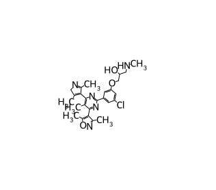 CNCC(O)COc1cc(Cl)cc(-c2nc(C3=C(C)CN=C3C)c(C)c(-c3c(C)noc3C)n2)c1